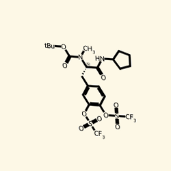 CN(C(=O)OC(C)(C)C)[C@@H](Cc1ccc(OS(=O)(=O)C(F)(F)F)c(OS(=O)(=O)C(F)(F)F)c1)C(=O)NC1CCCC1